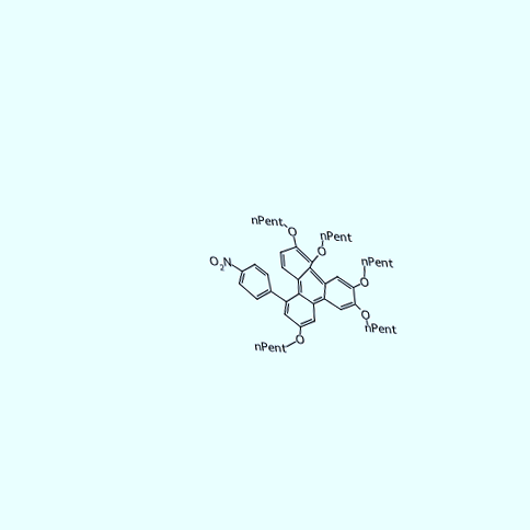 CCCCCOc1cc(-c2ccc([N+](=O)[O-])cc2)c2c(c1)c1cc(OCCCCC)c(OCCCCC)cc1c1c(OCCCCC)c(OCCCCC)ccc21